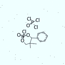 CC1(C)CO[P@@](=O)(Cl)OC1c1ccccc1.O=P(Cl)(Cl)Cl